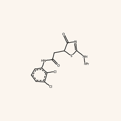 CCCNC1=NC(=O)C(CC(=O)Nc2cccc(Cl)c2Cl)S1